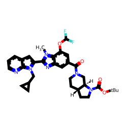 Cn1c(-c2cc3cccnc3n2CC2CC2)nc2cc(C(=O)N3CC[C@H]4CCN(C(=O)OC(C)(C)C)[C@@H]4C3)cc(OC(F)F)c21